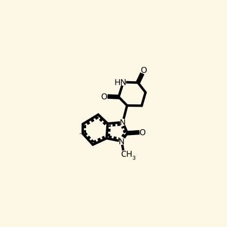 Cn1c(=O)n(C2CCC(=O)NC2=O)c2cc[c]cc21